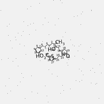 C[C@H](CCCCCc1ccccc1)[C@H](O)CC[C@H]1CCC(=O)N1CCCc1ccc(C(=O)O)s1